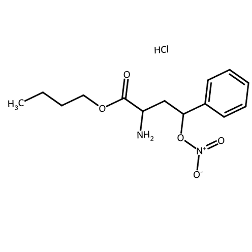 CCCCOC(=O)C(N)CC(O[N+](=O)[O-])c1ccccc1.Cl